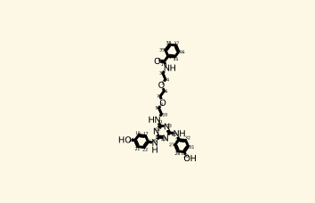 O=C(NCCOCCOCCNc1nc(Nc2ccc(O)cc2)nc(Nc2ccc(O)cc2)n1)c1ccccc1